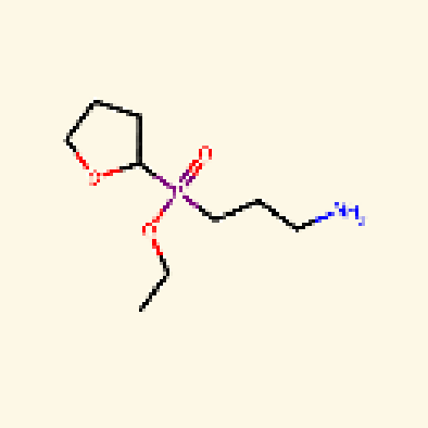 CCOP(=O)(CCCN)C1CCCO1